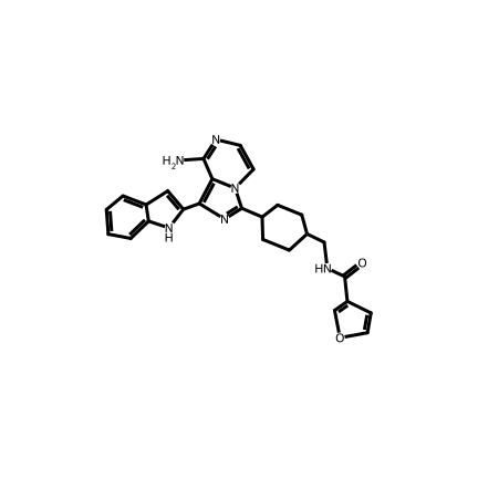 Nc1nccn2c(C3CCC(CNC(=O)c4ccoc4)CC3)nc(-c3cc4ccccc4[nH]3)c12